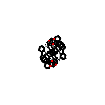 N#Cc1c(-n2c3ccccc3c3ccccc32)c(-n2c3ccccc3c3ccc4c(c32)C2(c3ccccc3-c3ccccc32)c2ccccc2-4)c(C#N)c(-n2c3ccccc3c3ccccc32)c1-n1c2ccccc2c2ccc3c(c21)C1(c2ccccc2-c2ccccc21)c1ccccc1-3